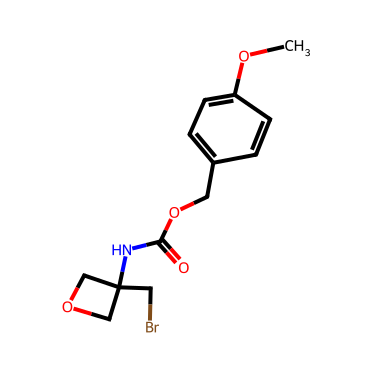 COc1ccc(COC(=O)NC2(CBr)COC2)cc1